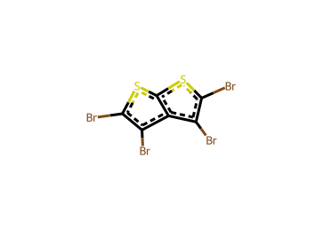 Brc1sc2sc(Br)c(Br)c2c1Br